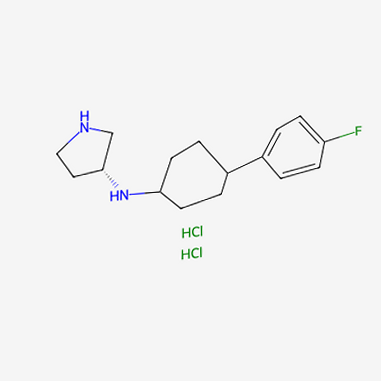 Cl.Cl.Fc1ccc(C2CCC(N[C@@H]3CCNC3)CC2)cc1